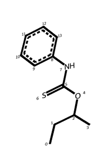 CCC(C)OC(=S)Nc1ccccc1